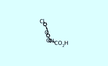 O=C(O)CCN1CCOC(c2ccc(OCC#Cc3ccc(Cl)cc3)cc2)C1